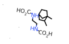 CC1CC2CCC1(C)C2.O=C(O)NCCNC(=O)O